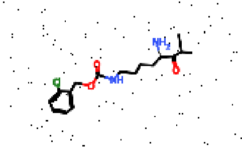 CC(C)C(=O)[C@@H](N)CCCCNC(=O)OCc1ccccc1Cl